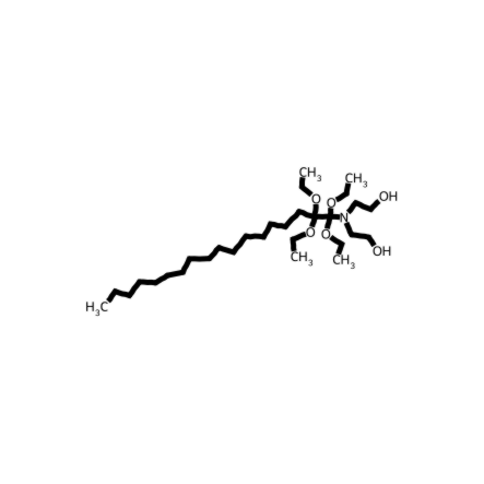 CCCCCCCCCCCCCCCCC(OCC)(OCC)C(OCC)(OCC)N(CCO)CCO